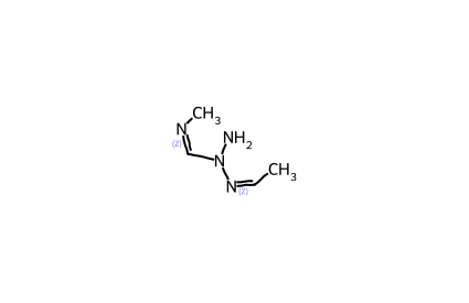 C/C=N\N(N)/C=N\C